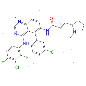 CN1CCCC1/C=C/C(=O)Nc1ccc2ncnc(Nc3ccc(F)c(Cl)c3F)c2c1-c1cccc(Cl)c1